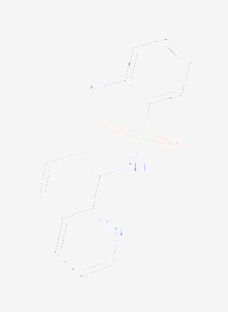 O=S(=O)(Nc1cccc2cccnc12)c1ccccc1I